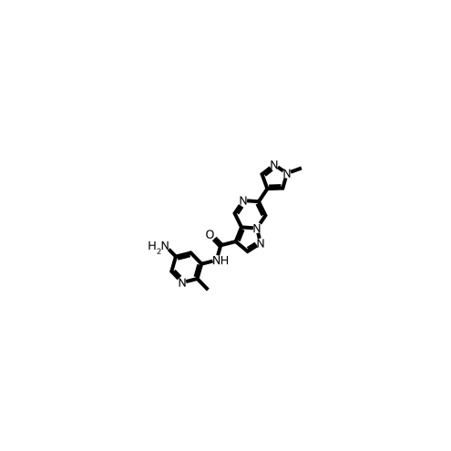 Cc1ncc(N)cc1NC(=O)c1cnn2cc(-c3cnn(C)c3)ncc12